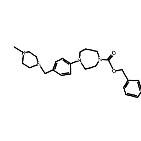 CN1CCN(Cc2ccc(N3CCCN(C(=O)OCc4ccccc4)CC3)cc2)CC1